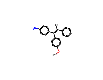 CCCOc1ccc(/C(=C(/CC)c2ccccc2)c2ccc(N)cc2)cc1